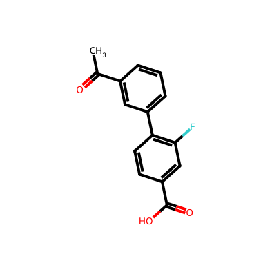 CC(=O)c1cccc(-c2ccc(C(=O)O)cc2F)c1